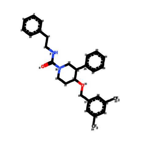 O=C(NCCc1ccccc1)N1CCC(OCc2cc(C(F)(F)F)cc(C(F)(F)F)c2)C(c2ccccc2)C1